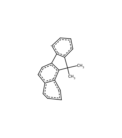 CC1(C)c2ccc[c]c2-c2ccc3ccccc3c21